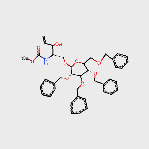 C=C[C@@H](O)[C@H](CO[C@H]1OC(COCc2ccccc2)[C@H](OCc2ccccc2)C(OCc2ccccc2)[C@@H]1OCc1ccccc1)NC(=O)OC(C)(C)C